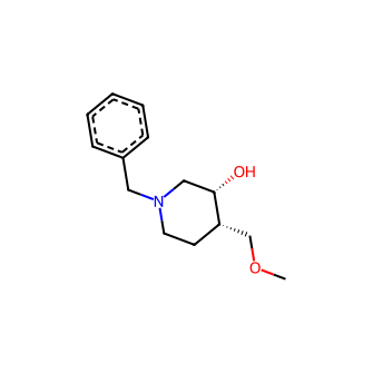 COC[C@@H]1CCN(Cc2ccccc2)C[C@@H]1O